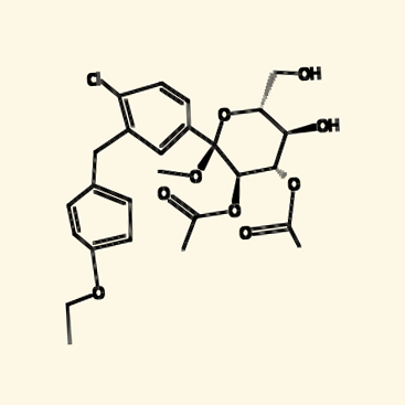 CCOc1ccc(Cc2cc([C@]3(OC)O[C@H](CO)[C@@H](O)[C@H](OC(C)=O)[C@H]3OC(C)=O)ccc2Cl)cc1